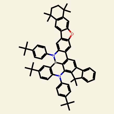 CC(C)(C)c1ccc(N2B3c4cc(C(C)(C)C)ccc4N(c4ccc(C(C)(C)C)cc4)c4c3c(cc3c4C(C)(C)c4ccccc4-3)-c3cc4oc5cc6c(cc5c4cc32)C(C)(C)CCC6(C)C)cc1